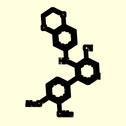 COc1ccc(-c2cncc(C#N)c2Nc2ccc3c(c2)OCCO3)cc1OC